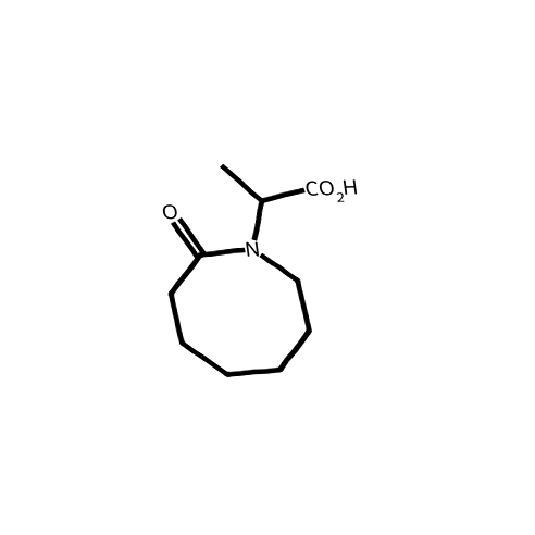 CC(C(=O)O)N1CCCCCCC1=O